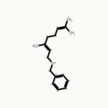 CC(C)=CCC/C(C)=C/COCc1ccccc1